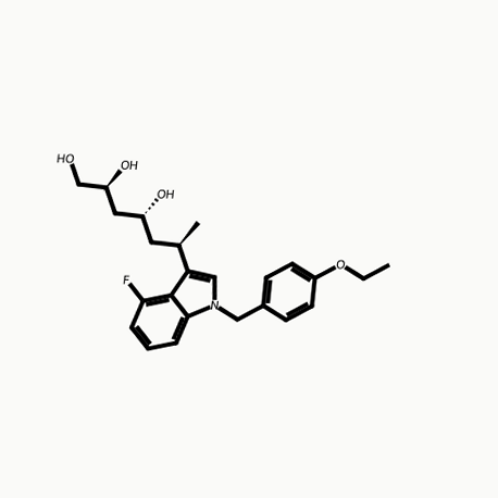 CCOc1ccc(Cn2cc([C@H](C)C[C@@H](O)C[C@H](O)CO)c3c(F)cccc32)cc1